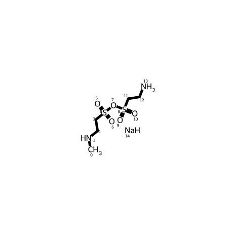 CNCCS(=O)(=O)OS(=O)(=O)CCN.[NaH]